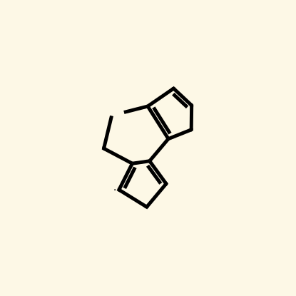 CCC1=[C]CC=C1C1=C(C)C=CC1